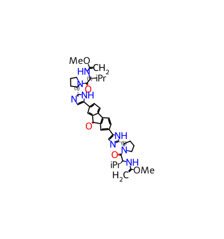 C=C(NC(C(=O)N1CCC[C@H]1c1ncc(-c2ccc3c(c2)C(=O)c2cc(-c4cnc([C@@H]5CCCN5C(=O)[C@@H](NC(=C)OC)C(C)C)[nH]4)ccc2-3)[nH]1)C(C)C)OC